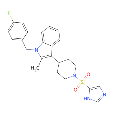 Cc1c(C2CCN(S(=O)(=O)c3cnc[nH]3)CC2)c2ccccc2n1Cc1ccc(F)cc1